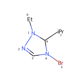 CCN1N=CN(Br)C1C(C)C